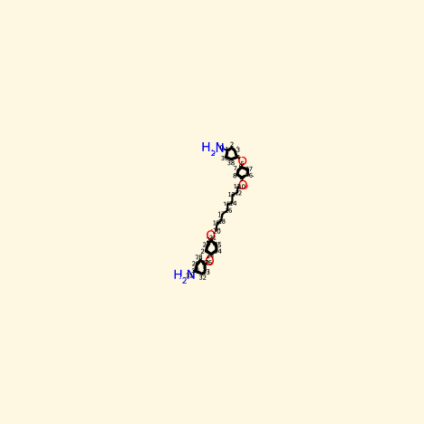 Nc1ccc(Oc2ccc(OCCCCCCCCCCOc3ccc(Oc4ccc(N)cc4)cc3)cc2)cc1